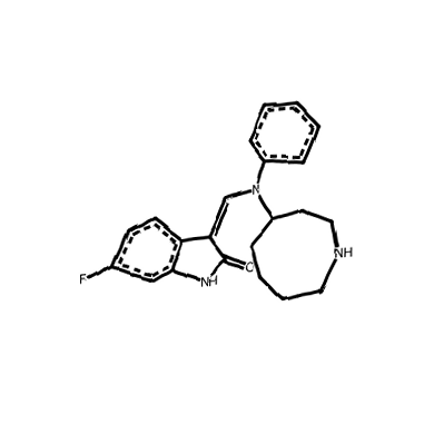 O=C1Nc2cc(F)ccc2/C1=C/N(c1ccccc1)C1CCCCNCC1